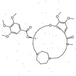 COc1cc(C(=O)O[C@H]2CCCOc3cc(cc(OC)c3OC)C(=O)N(C)CCCN3CCCN(CC2)CC3)cc(OC)c1OC